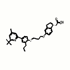 CCCc1cc(-c2cc(C)cc(C(C)(C)C)n2)ccc1OCCCOc1ccc2c(c1)CC[C@@H]2CC(=O)O